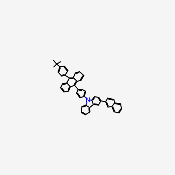 CC(C)(C)c1ccc(-c2c3ccccc3c(-c3ccc(-n4c5ccccc5c5cc(-c6ccc7ccccc7c6)ccc54)cc3)c3ccccc23)cc1